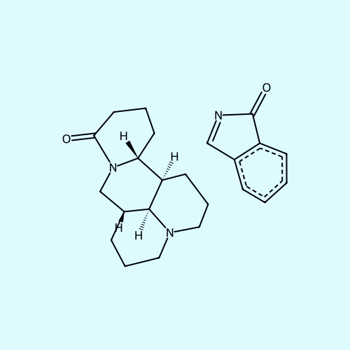 O=C1CCC[C@@H]2[C@H]3CCCN4CCC[C@H](CN12)[C@@H]34.O=C1N=Cc2ccccc21